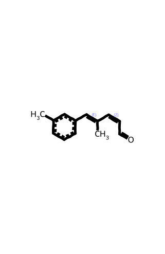 CC(/C=C\C=O)=C\c1cccc(C)c1